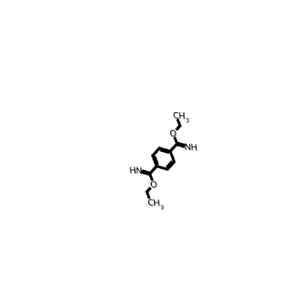 CCOC(=N)c1ccc(C(=N)OCC)cc1